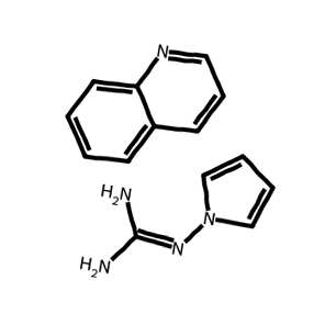 NC(N)=Nn1cccc1.c1ccc2ncccc2c1